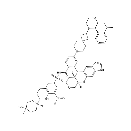 CC(C)c1ccccc1[C@@H]1COCCN1C1CC2(CCN(c3ccc(C(=O)NS(=O)(=O)c4cc5c(c([N+](=O)[O-])c4)N[C@H](C4(F)CCC(C)(O)CC4)CO5)c(N4c5cc6cc[nH]c6nc5O[C@H]5COCC[C@@H]54)c3)CC2)C1